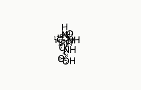 O=C(O)CCNC(=O)c1c[nH]c2c(=O)[nH]c3ccccc3c12